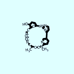 CC1CCN(C)c2ccc(cn2)-c2ccnc(n2)Nc2ccc(O)c(c2)CN2CCN(CC2)C1